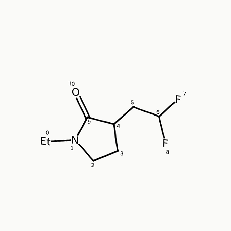 CCN1CCC(CC(F)F)C1=O